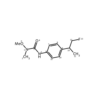 CON(C)C(=O)Nc1ccc(C(C)CF)cc1